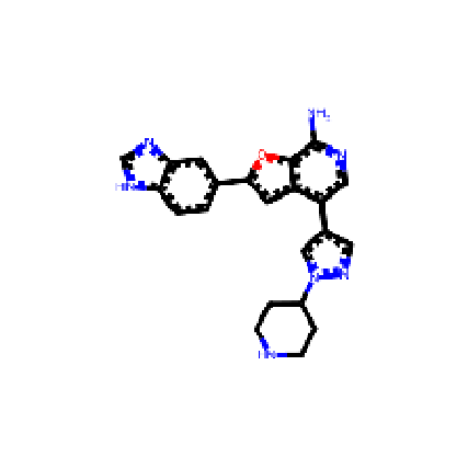 Nc1ncc(-c2cnn(C3CCNCC3)c2)c2cc(-c3ccc4[nH]cnc4c3)oc12